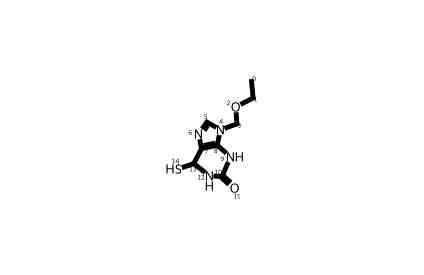 CCOCn1cnc2c1NC(=O)NC2S